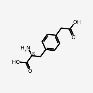 N[C@@H](Cc1ccc(CC(=O)O)cc1)C(=O)O